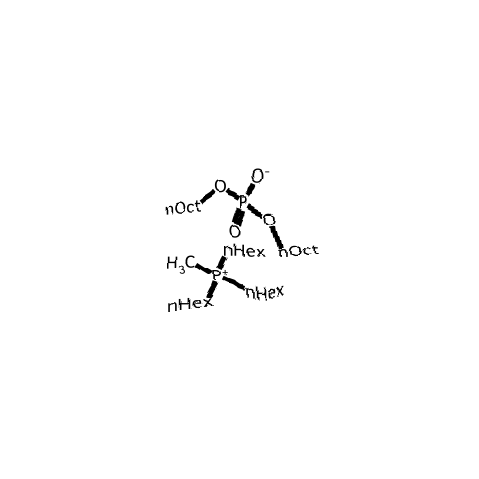 CCCCCCCCOP(=O)([O-])OCCCCCCCC.CCCCCC[P+](C)(CCCCCC)CCCCCC